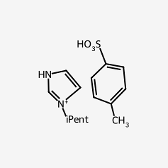 CCCC(C)[n+]1cc[nH]c1.Cc1ccc(S(=O)(=O)O)cc1